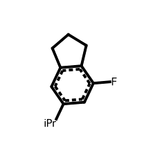 CC(C)c1cc(F)c2c(c1)CCC2